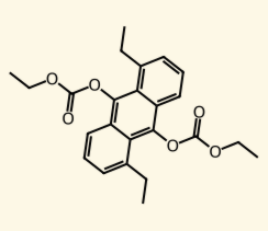 CCOC(=O)Oc1c2cccc(CC)c2c(OC(=O)OCC)c2cccc(CC)c12